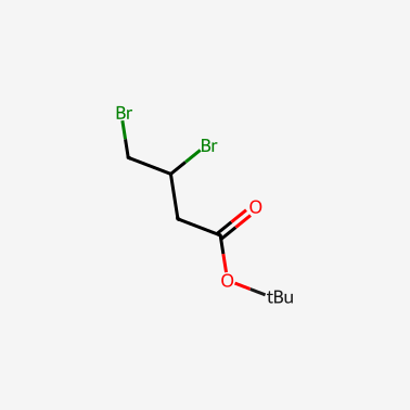 CC(C)(C)OC(=O)CC(Br)CBr